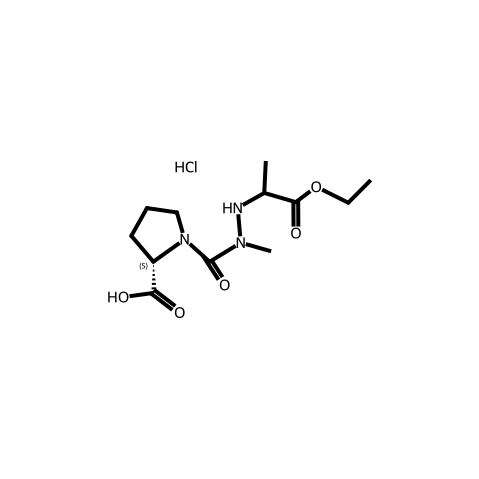 CCOC(=O)C(C)NN(C)C(=O)N1CCC[C@H]1C(=O)O.Cl